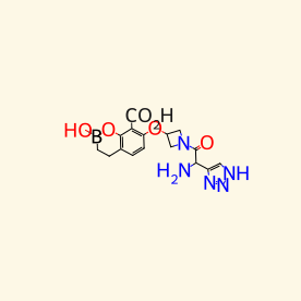 NC(C(=O)N1CC(Oc2ccc3c(c2C(=O)O)OB(O)CC3)C1)c1c[nH]nn1